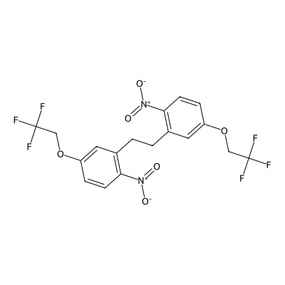 O=[N+]([O-])c1ccc(OCC(F)(F)F)cc1CCc1cc(OCC(F)(F)F)ccc1[N+](=O)[O-]